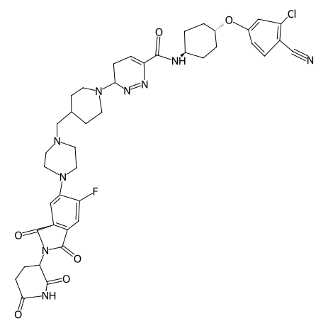 N#Cc1ccc(O[C@H]2CC[C@H](NC(=O)C3=CCC(N4CCC(CN5CCN(c6cc7c(cc6F)C(=O)N(C6CCC(=O)NC6=O)C7=O)CC5)CC4)N=N3)CC2)cc1Cl